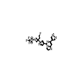 Cn1cc(-c2cc3nccn3c(-c3cnn(C4(CCF)CN(S(=O)(=O)C(F)(F)F)C4)c3)n2)cn1